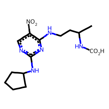 CC(CCNc1nc(NC2CCCC2)ncc1[N+](=O)[O-])NC(=O)O